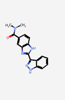 CN(C)C(=O)c1ccc2[nH]c(-c3n[nH]c4ccccc34)nc2c1